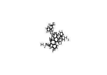 C[C@]1(CO)CCCN1c1nc(OC[C@@]23CCCN2C[C@H](F)C3)nc2c(F)c(-c3ccc(F)c4sc(N)c(C#N)c34)c(Cl)cc12